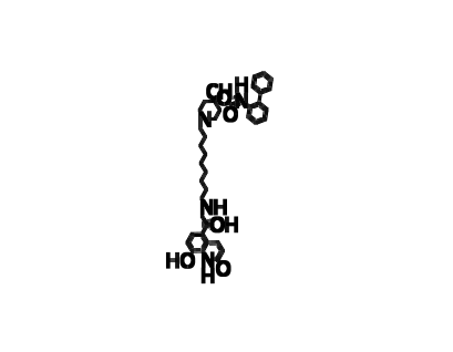 CC1(OC(=O)Nc2ccccc2-c2ccccc2)CCN(CCCCCCCCCNC[C@@H](O)c2ccc(O)c3[nH]c(=O)ccc23)CC1